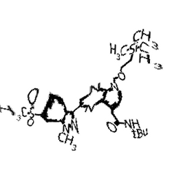 Cn1nc(-c2cnc3c(n2)c(C(=O)NC(C)(C)C)cn3COCC[Si](C)(C)C)c2ccc(S(C)(=O)=O)cc21